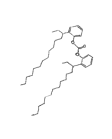 CCCCCCCCCCCCC(CC)c1ccccc1OC(=O)Oc1ccccc1C(CC)CCCCCCCCCCCC